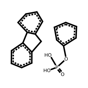 O=P(O)(O)Oc1ccccc1.c1ccc2c(c1)Cc1ccccc1-2